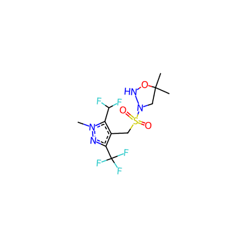 Cn1nc(C(F)(F)F)c(CS(=O)(=O)N2CC(C)(C)ON2)c1C(F)F